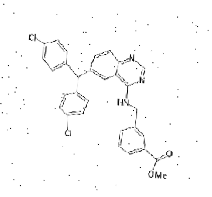 COC(=O)c1cccc(CNc2ncnc3ccc(C(c4ccc(Cl)cc4)c4ccc(Cl)cc4)cc23)c1